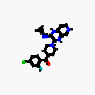 O=C(c1ccc(Cl)cc1F)C1CCN(c2nc3cnccc3nc2NC2CC2)CC1